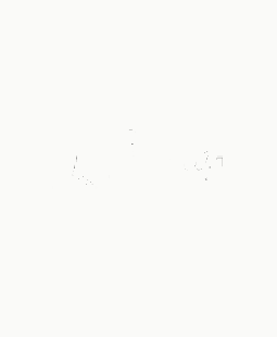 O=C(O)CCC(=O)c1ccc2c(c1)CCO2